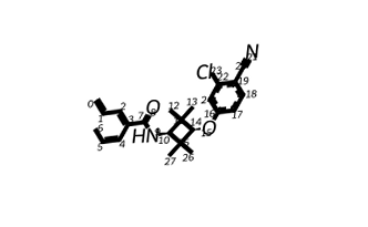 C=C/C=C(\C=C/C)C(=O)N[C@H]1C(C)(C)[C@H](Oc2ccc(C#N)c(Cl)c2)C1(C)C